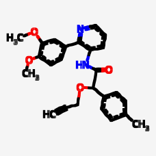 C#CCOC(C(=O)Nc1cccnc1-c1ccc(OC)c(OC)c1)c1ccc(C)cc1